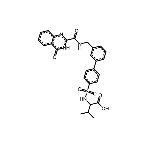 CC(C)C(NS(=O)(=O)c1ccc(-c2cccc(CNC(=O)c3nc4ccccc4c(=O)[nH]3)c2)cc1)C(=O)O